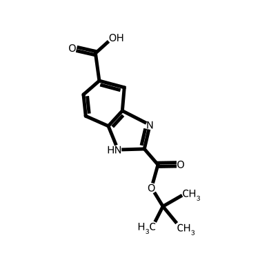 CC(C)(C)OC(=O)c1nc2cc(C(=O)O)ccc2[nH]1